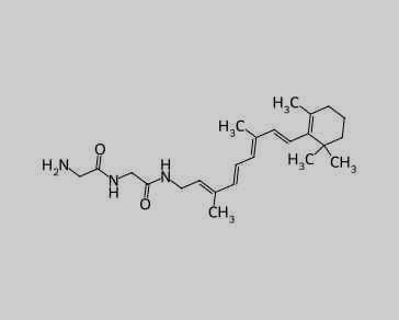 CC(C=CC1=C(C)CCCC1(C)C)=CC=CC(C)=CCNC(=O)CNC(=O)CN